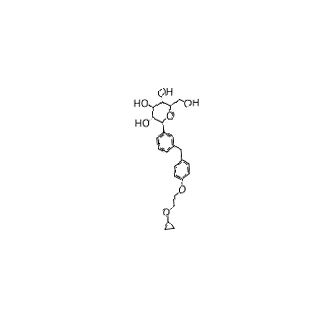 OC[C@H]1O[C@@H](c2cccc(Cc3ccc(OCCOC4CC4)cc3)c2)[C@H](O)[C@@H](O)[C@@H]1O